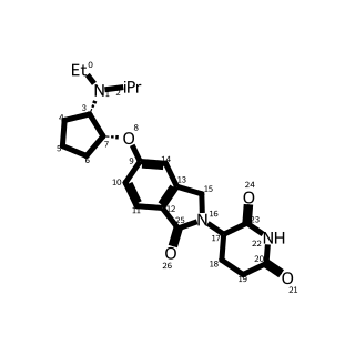 CCN(C(C)C)[C@H]1CCC[C@H]1Oc1ccc2c(c1)CN(C1CCC(=O)NC1=O)C2=O